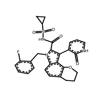 O=C(NS(=O)(=O)C1CC1)c1c(-c2ccc[nH]c2=O)c2c3c(ccc2n1Cc1ccccc1F)CCCO3